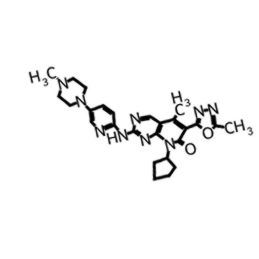 Cc1nnc(-c2c(C)c3cnc(Nc4ccc(N5CCN(C)CC5)cn4)nc3n(C3CCCC3)c2=O)o1